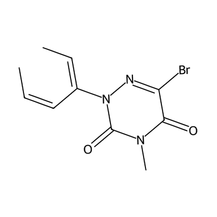 C/C=C\C(=C/C)n1nc(Br)c(=O)n(C)c1=O